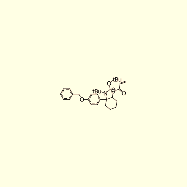 C=CC(=O)OC1CCCCC1(c1ccc(OCc2ccccc2)cc1)N(C(=O)OC(C)(C)C)C(C)(C)C